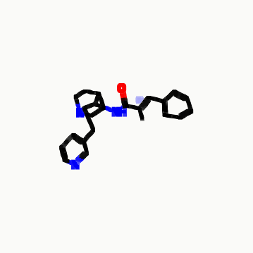 C/C(=C\c1ccccc1)C(=O)NC1C2CCN(CC2)C1Cc1cccnc1